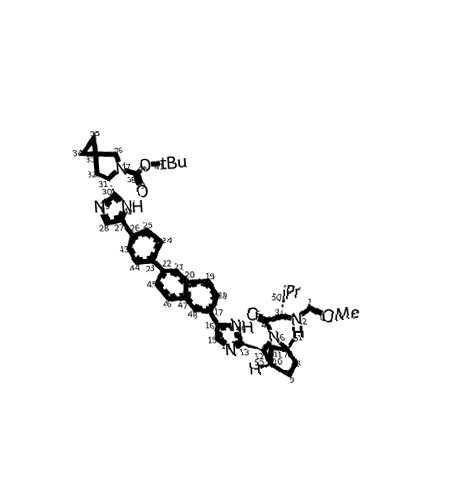 COCN[C@H](C(=O)N1[C@@H]2CC[C@@H](C2)[C@H]1c1ncc(-c2ccc3cc(-c4ccc(-c5cnc([C@@H]6CC7(CC7)CN6C(=O)OC(C)(C)C)[nH]5)cc4)ccc3c2)[nH]1)C(C)C